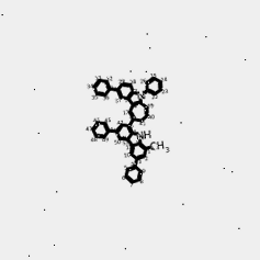 Cc1cc(-c2ccccc2)cc2c1[nH]c1c(C3=Cc4c(n(-c5ccccc5)c5ccc(-c6ccccc6)cc45)C=CC3)cc(-c3ccccc3)cc12